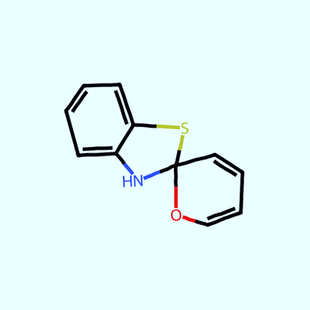 C1=COC2(C=C1)Nc1ccccc1S2